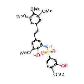 COc1ccc(S(=O)(=O)Nc2cc(C=Cc3cc(OC)c(OC)c(OC)c3)cc(OC)c2O)cc1O